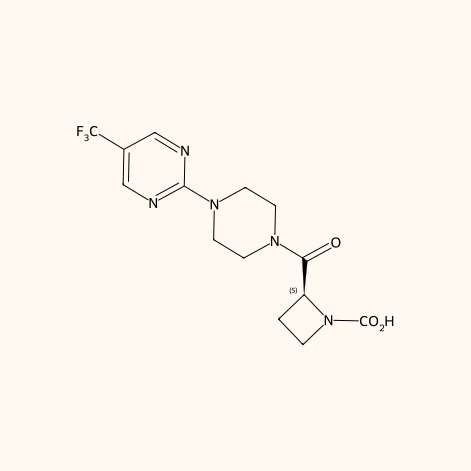 O=C([C@@H]1CCN1C(=O)O)N1CCN(c2ncc(C(F)(F)F)cn2)CC1